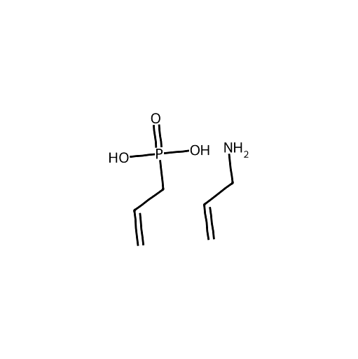 C=CCN.C=CCP(=O)(O)O